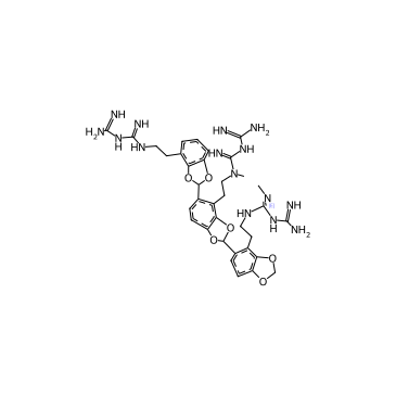 C/N=C(\NCCc1c(C2Oc3ccc(C4Oc5cccc(CCNC(=N)NC(=N)N)c5O4)c(CCN(C)C(=N)NC(=N)N)c3O2)ccc2c1OCO2)NC(=N)N